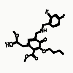 CCCCOc1c(C(=O)OC)n(CC(O)OC)cc(CNCc2ccc(F)cc2F)c1=O